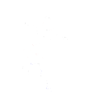 CCCC(CCC)(COS(=O)(=O)ON1C(=O)N2C[C@H]1CC[C@H]2C(N)=O)C(=O)OC